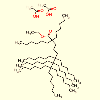 CC(=O)O.CC(=O)O.CCCCCCC(CCCCCC)(CCCC(CCCCCC)(CCCCCC)C(CCCCCC)(CCCCCC)C(CCCCCC)(CCCCCC)CCCCCC)C(=O)OCC